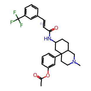 CC(=O)Oc1cccc(C23CCN(C)CC2CCC(NC(=O)/C=C/c2cccc(C(F)(F)F)c2)C3)c1